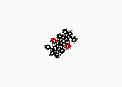 c1ccc(-n2c3ccccc3c3c2cc2c4c3n(-c3ccccc3)c3cccc5c3p4c3c(c4c6c(c3n2-c2ccccc2)n(-c2ccccc2)c2cccc3c2p6c2c(cc6c(c7ccccc7n6-c6ccccc6)c2n3-c2ccccc2)n4-c2ccccc2)n5-c2ccccc2)cc1